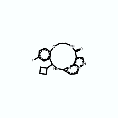 O=C1NCCOc2ccc(F)cc2C(C2CCC2)Nc2ccn3ncc1c3n2